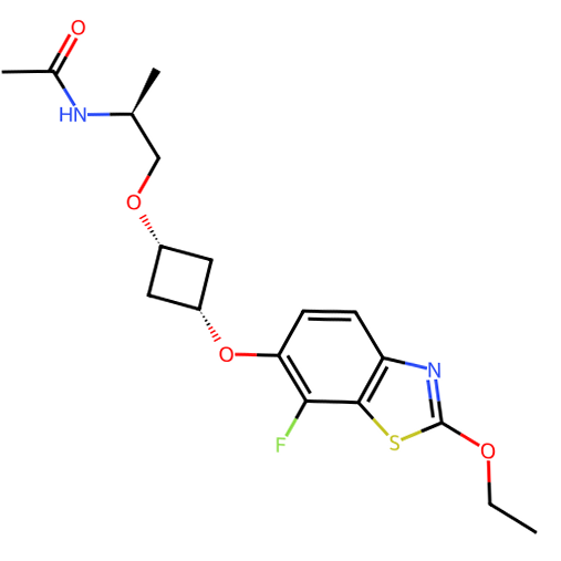 CCOc1nc2ccc(O[C@H]3C[C@@H](OC[C@H](C)NC(C)=O)C3)c(F)c2s1